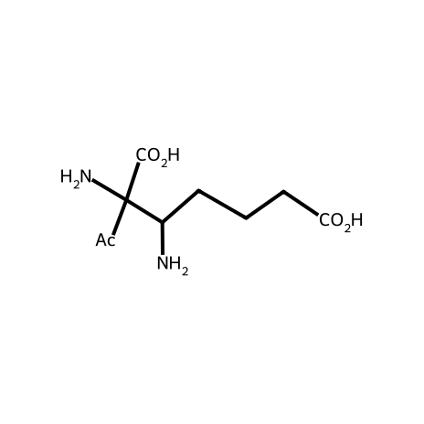 CC(=O)C(N)(C(=O)O)C(N)CCCC(=O)O